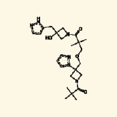 CC(C)(C)C(=O)N1CC(COCC(C)(C)C(=O)N2CC(O)(Cc3ccn[nH]3)C2)(n2cccn2)C1